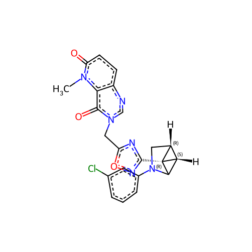 Cn1c(=O)ccc2ncn(Cc3nc([C@@]45C6[C@H]4[C@H]5CN6c4cccc(Cl)c4)no3)c(=O)c21